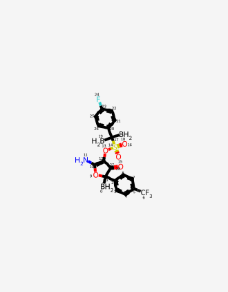 BC1(c2ccc(C(F)(F)F)cc2)OC(N)=C(OS(=O)(=O)C(B)(B)c2ccc(F)cc2)C1=O